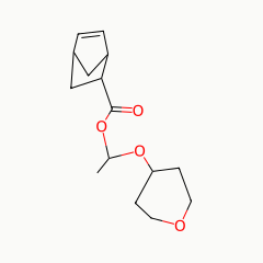 CC(OC(=O)C1CC2C=CC1C2)OC1CCOCC1